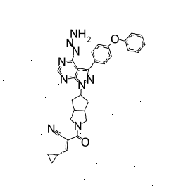 N#C/C(=C\C1CC1)C(=O)N1CC2CC(n3nc(-c4ccc(Oc5ccccc5)cc4)c4c(N=NN)ncnc43)CC2C1